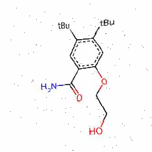 CC(C)(C)c1cc(OCCO)c(C(N)=O)cc1C(C)(C)C